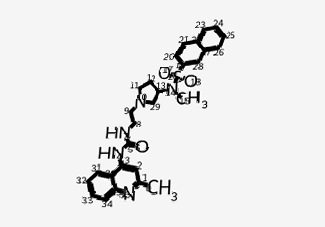 Cc1cc(NC(=O)NCCN2CCC(N(C)S(=O)(=O)c3ccc4ccccc4c3)C2)c2ccccc2n1